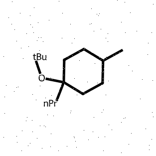 CCCC1(OC(C)(C)C)CCC(C)CC1